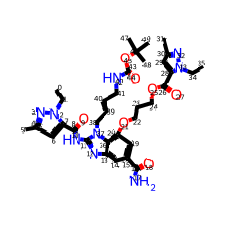 CCn1nc(C)cc1C(=O)Nc1nc2cc(C(N)=O)cc(OCCCOC(=O)c3cc(C)nn3CC)c2n1C/C=C/CNC(=O)OC(C)(C)C